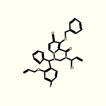 C=CCOc1cc(F)ccc1C(c1ccccc1)N1CN(C(C=C)CC)C(=O)c2c(OCc3ccccc3)c(=O)ccn21